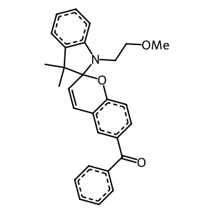 COCCN1c2ccccc2C(C)(C)C12C=Cc1cc(C(=O)c3ccccc3)ccc1O2